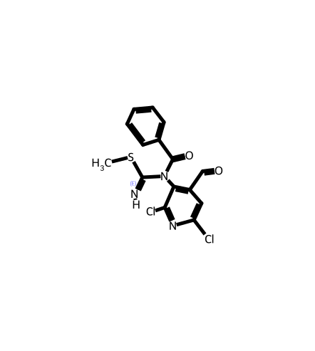 [H]/N=C(/SC)N(C(=O)c1ccccc1)c1c(C=O)cc(Cl)nc1Cl